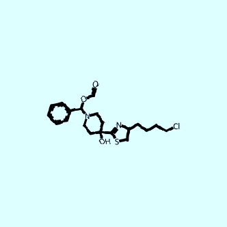 O=COC(c1ccccc1)N1CCC(O)(C2=NC(CCCCCl)CS2)CC1